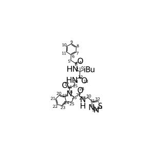 CCC(C)C(NC(=O)Cc1ccccc1)C(=O)NCC(=O)N1c2ccccc2C[C@H]1C(=O)NCc1csnn1